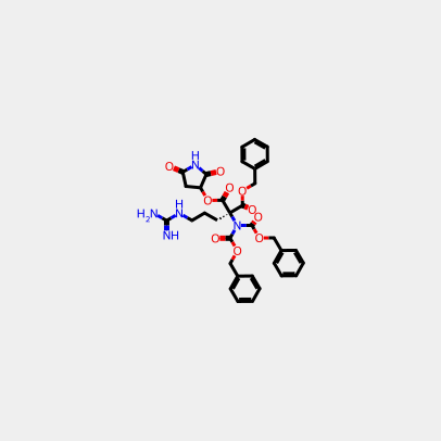 N=C(N)NCCC[C@@](C(=O)OCc1ccccc1)(C(=O)OC1CC(=O)NC1=O)N(C(=O)OCc1ccccc1)C(=O)OCc1ccccc1